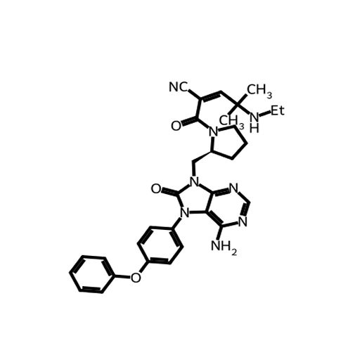 CCNC(C)(C)/C=C(/C#N)C(=O)N1CCC[C@H]1Cn1c(=O)n(-c2ccc(Oc3ccccc3)cc2)c2c(N)ncnc21